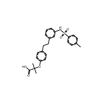 Cc1ccc(S(=O)(=O)Nc2cccc(CCc3ccc(OC(C)(C)C(=O)O)cc3)c2)cc1